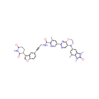 Cc1cc(-c2ncc3c(n2)OCCN3c2cc(C)c3c(c2)n(C)c(=O)n3C)cnc1C(=O)NCC#Cc1ccc2occ(C3CCC(=O)NC3=O)c2c1